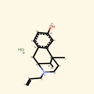 C=CCN1CCC2(C)c3cc(O)ccc3CC1C2C.Cl